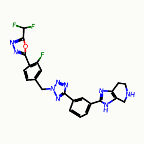 Fc1cc(Cn2nnc(-c3cccc(-c4nc5c([nH]4)CNCC5)c3)n2)ccc1-c1nnc(C(F)F)o1